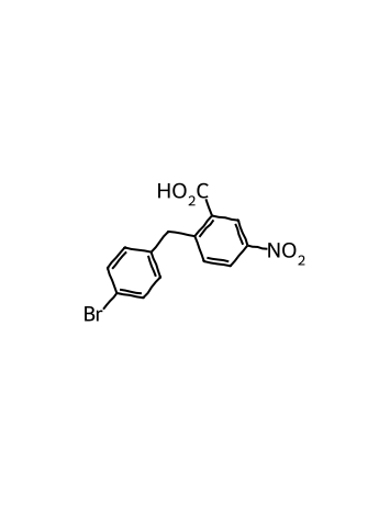 O=C(O)c1cc([N+](=O)[O-])ccc1Cc1ccc(Br)cc1